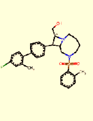 Cc1cc(F)ccc1-c1ccc(C2C3CN(S(=O)(=O)c4ccccc4C)CCCCN3[C@@H]2CO)cc1